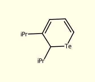 CC(C)C1=CC=C[Te]C1C(C)C